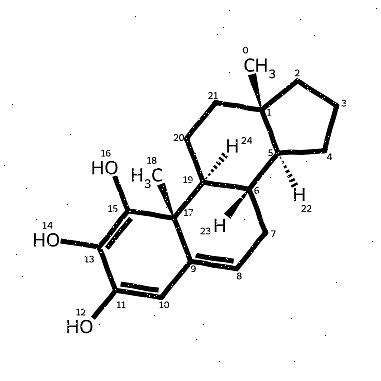 C[C@@]12CCC[C@H]1[C@@H]1CC=C3C=C(O)C(O)=C(O)[C@]3(C)[C@H]1CC2